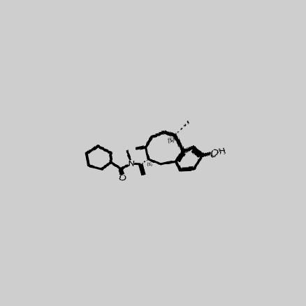 C=C([C@H]1Cc2ccc(O)cc2[C@@H](C)CCC1C)N(C)C(=O)C1CCCCC1